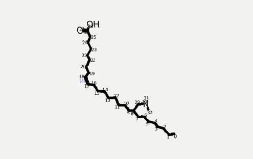 CCCCCCCCC(CCCCCCCC/C=C\CCCCCCCC(=O)O)CN(C)C